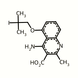 Cc1nc2cccc(OCC(C)(C)I)c2c(N)c1C(=O)O